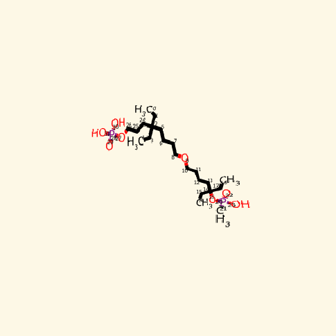 CCC(CC)(CCCCOCCCCC(CC)(CC)OP(C)(=O)O)CCCOP(=O)(O)O